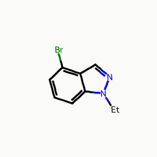 CCn1ncc2c(Br)cccc21